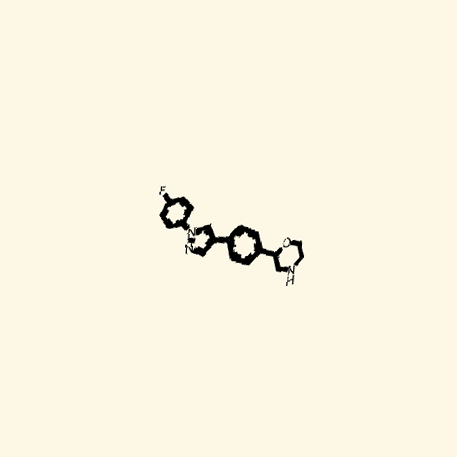 Fc1ccc(-n2cc(-c3ccc(C4CNCCO4)cc3)cn2)cc1